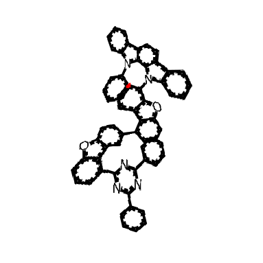 c1ccc(-c2nc(-c3ccccc3)nc(-c3cccc4oc5ccc(-c6cccc7oc8c(-n9c%10ccccc%10c%10ccc%11c%12ccccc%12n(-c%12ccccc%12)c%11c%109)cccc8c67)cc5c34)n2)cc1